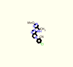 COc1ncc([C@@H](C)Nc2ncnc3c2CN(c2ccc(Cl)cc2C#N)CC3)cn1